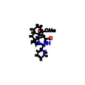 COC(=O)C1C(=O)NC(c2ccccn2)=NC12c1ccccc1CC2(F)F